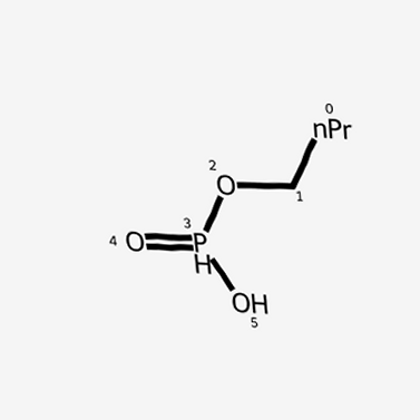 CCCCO[PH](=O)O